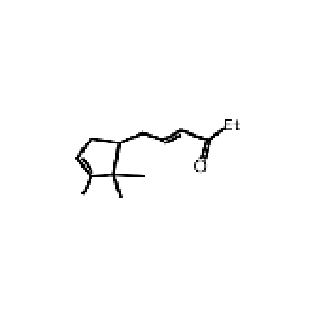 CCC(=O)/C=C/CC1CC=C(C)C1(C)C